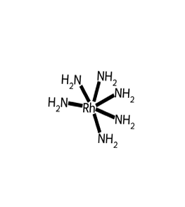 [NH2][Rh]([NH2])([NH2])([NH2])([NH2])[NH2]